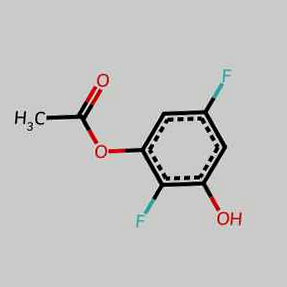 CC(=O)Oc1cc(F)cc(O)c1F